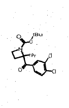 CCCC1(C(=O)c2ccc(Cl)c(Cl)c2)CCN1C(=O)OC(C)(C)C